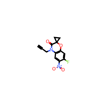 C#CCN1C(=O)C2(CC2)Oc2cc(F)c([N+](=O)[O-])cc21